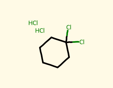 Cl.Cl.ClC1(Cl)CCCCC1